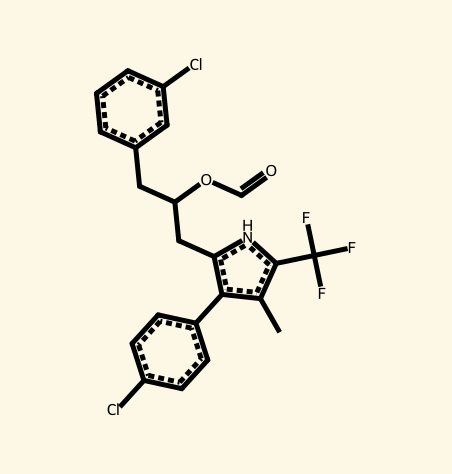 Cc1c(C(F)(F)F)[nH]c(CC(Cc2cccc(Cl)c2)OC=O)c1-c1ccc(Cl)cc1